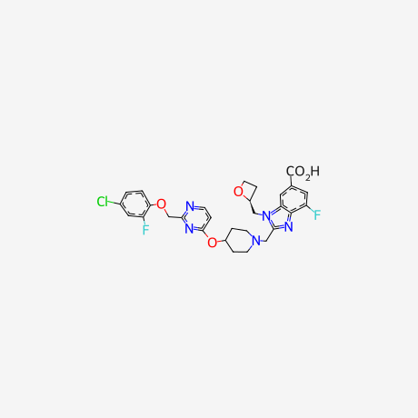 O=C(O)c1cc(F)c2nc(CN3CCC(Oc4ccnc(COc5ccc(Cl)cc5F)n4)CC3)n(C[C@@H]3CCO3)c2c1